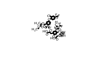 CCOC(=O)C(C)OC(=O)c1cc(Oc2ccc(C(F)(F)F)cc2Cl)ccc1[N+](=O)[O-].Cc1nn(-c2cc(CC(Cl)C(=O)O)c(Cl)cc2F)c(=O)n1C(F)F.O=C(O)CNCP(=O)(O)O